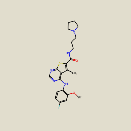 Cc1c(C(=O)NCCCN2CCCC2)sc2ncnc(Nc3ccc(F)cc3OC(C)C)c12